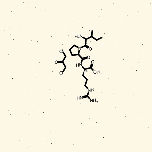 CCC(C)C(N)C(=O)N1CCCC1C(=O)N[C@H](CCCNC(=N)N)C(=O)O.O=C(CCl)CCl